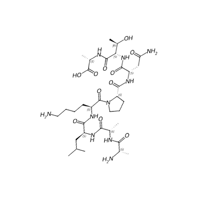 CC(C)C[C@H](NC(=O)[C@H](C)NC(=O)[C@H](C)N)C(=O)N[C@@H](CCCCN)C(=O)N1CCC[C@H]1C(=O)N[C@@H](CC(N)=O)C(=O)N[C@H](C(=O)N[C@@H](C)C(=O)O)[C@@H](C)O